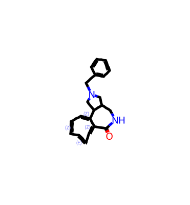 O=C1NCC2CN(Cc3ccccc3)CC2/C2=C/C=C\C=C\C=C/12